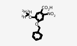 [2H]C([2H])([2H])Oc1cc(C(=O)O)c([N+](=O)[O-])cc1OCc1ccccc1